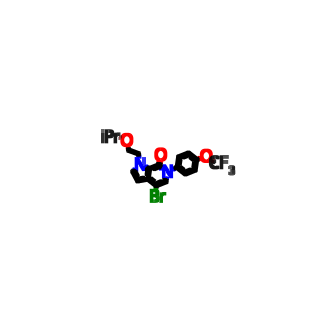 CC(C)OCCn1ccc2c(Br)cn(-c3ccc(OC(F)(F)F)cc3)c(=O)c21